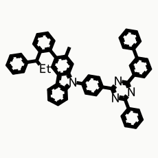 CCC(c1ccccc1)c1ccccc1-c1cc2c3ccccc3n(-c3ccc(-c4nc(-c5ccccc5)nc(-c5cccc(-c6ccccc6)c5)n4)cc3)c2cc1C